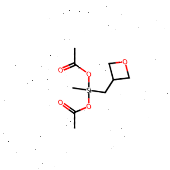 CC(=O)O[Si](C)(CC1COC1)OC(C)=O